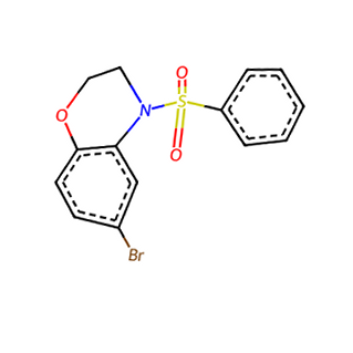 O=S(=O)(c1ccccc1)N1CCOc2ccc(Br)cc21